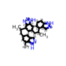 CC(C)c1cc(CC(C)c2cc(CC(C)c3cccc4[nH]ncc34)cc3[nH]nnc23)cc2cn[nH]c12